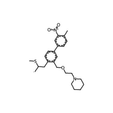 [CH2]C(Cc1ccc(-c2ccc(C)c([N+](=O)[O-])c2)cc1COCCN1CCCCC1)SC